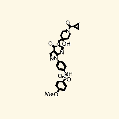 COc1ccc(S(=O)(=O)Nc2ccc(-n3ncc4c(=O)n(CC5(O)CCN(C(=O)C6CC6)CC5)cnc43)cc2)cc1